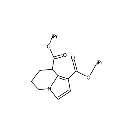 CC(C)OC(=O)c1ccn2c1C(C(=O)OC(C)C)CCC2